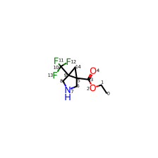 CCOC(=O)C12CNCC1(C(F)(F)F)C2